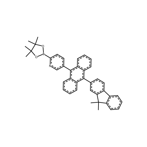 CC1(C)c2ccccc2-c2ccc(-c3c4ccccc4c(-c4ccc(B5OC(C)(C)C(C)(C)O5)nc4)c4ccccc34)cc21